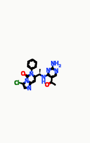 CC(=O)c1cnc(N)nc1N[C@@H](C)c1cc2ncc(Cl)n2c(=O)n1-c1ccccc1